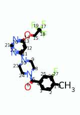 Cc1ccc(C(=O)N2CCN(c3cc(OCC(F)(F)F)ncn3)CC2)cc1F